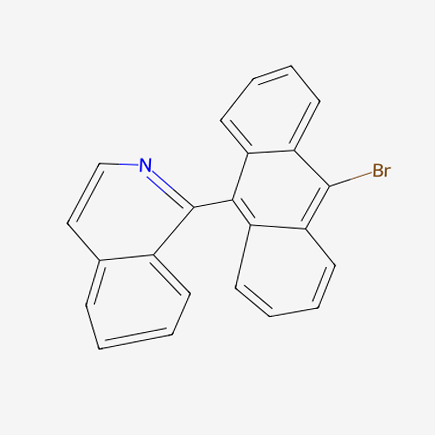 Brc1c2ccccc2c(-c2nccc3ccccc23)c2ccccc12